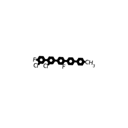 Cc1ccc(-c2ccc(-c3ccc(-c4ccc(-c5ccc(F)c(Cl)c5)c(Cl)c4)cc3F)cc2)cc1